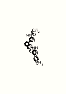 C=CC(=O)Nc1cncc(C2=CC=CC(=C/N=C)/C2=N\CNc2ccc(N3CCN(C)CC3)nc2)c1